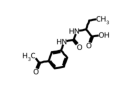 CCC(NC(=O)Nc1cccc(C(C)=O)c1)C(=O)O